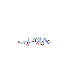 COCC(=O)NCc1ccc(Cl)c(C(=O)Nc2cccc3c2cnn3-c2cscn2)c1